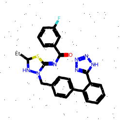 CCC1NN(Cc2ccc(-c3ccccc3-c3nnn[nH]3)cc2)C(=NC(=O)c2cccc(F)c2)S1